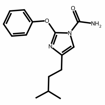 CC(C)CCc1cn(C(N)=O)c(Oc2ccccc2)n1